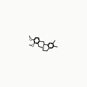 COc1ccc2c(c1OC)CN1CCc3cc(C)c(C)cc3C1C2